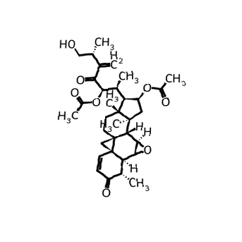 C=C(C(=O)[C@H](OC(C)=O)[C@@H](C)[C@H]1[C@@H](OC(C)=O)C[C@@]2(C)[C@@H]3[C@H]4OC4[C@H]4[C@H](C)C(=O)C=C[C@@]45C[C@@]35CC[C@]12C)[C@@H](C)CO